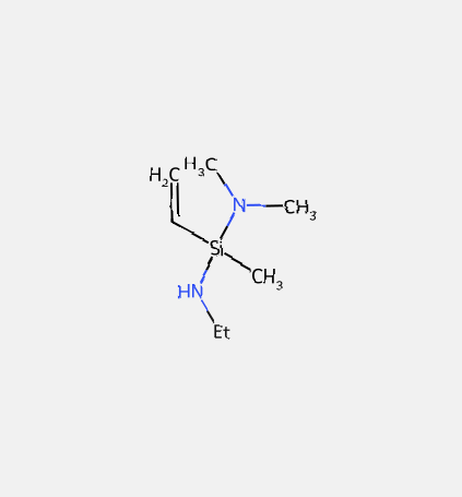 C=C[Si](C)(NCC)N(C)C